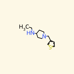 CCNC1CCN(Cc2ccsc2)CC1